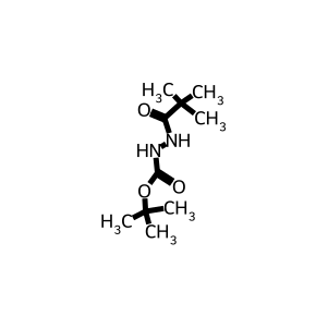 CC(C)(C)OC(=O)NNC(=O)C(C)(C)C